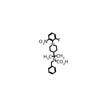 CC(C)(C1CCN(c2c(F)cccc2[N+](=O)[O-])CC1)N(Cc1ccccc1)C(=O)O